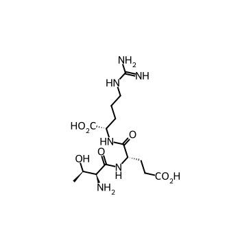 C[C@@H](O)[C@H](N)C(=O)N[C@@H](CCC(=O)O)C(=O)N[C@@H](CCCNC(=N)N)C(=O)O